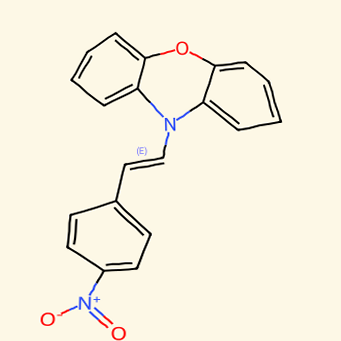 O=[N+]([O-])c1ccc(/C=C/N2c3ccccc3Oc3ccccc32)cc1